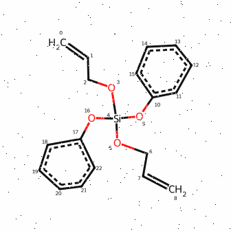 C=CCO[Si](OCC=C)(Oc1ccccc1)Oc1ccccc1